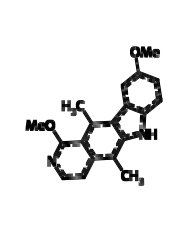 COc1ccc2[nH]c3c(C)c4ccnc(OC)c4c(C)c3c2c1